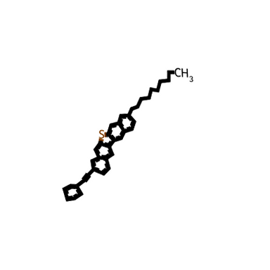 CCCCCCCCCCc1ccc2cc3c(cc2c1)sc1cc2cc(C#Cc4ccccc4)ccc2cc13